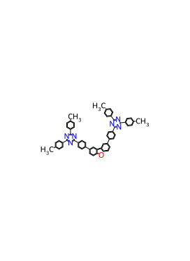 Cc1ccc(-c2nc(-c3ccc(C)cc3)nc(-c3ccc(-c4ccc5oc6ccc(-c7ccc(-c8nc(-c9ccc(C)cc9)nc(-c9ccc(C)cc9)n8)cc7)cc6c5c4)cc3)n2)cc1